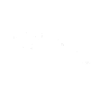 CCC(C[C@](C)(C(=O)O)S(C)(=O)=O)c1cc(-c2cccc(OC)c2F)no1